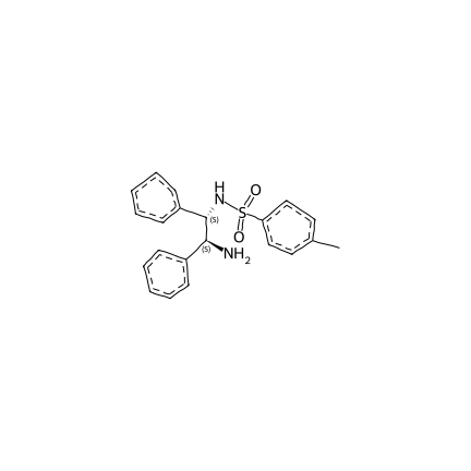 Cc1ccc(S(=O)(=O)N[C@@H](c2ccccc2)[C@@H](N)c2ccccc2)cc1